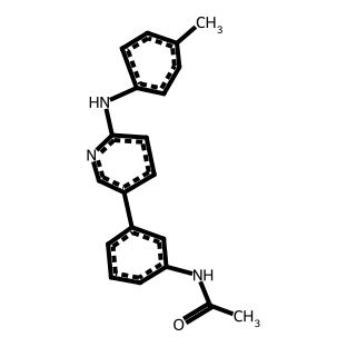 CC(=O)Nc1cccc(-c2ccc(Nc3ccc(C)cc3)nc2)c1